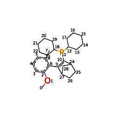 COc1cccc(C)c1C1=C(P(C2CCCCC2)C2CCCCC2)C2CCC1C2